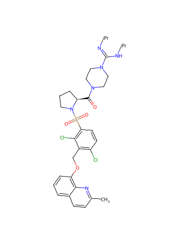 Cc1ccc2cccc(OCc3c(Cl)ccc(S(=O)(=O)N4CCC[C@H]4C(=O)N4CCN(C(=NC(C)C)NC(C)C)CC4)c3Cl)c2n1